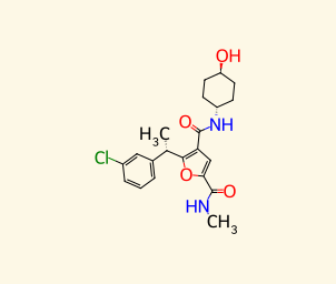 CNC(=O)c1cc(C(=O)N[C@H]2CC[C@H](O)CC2)c([C@@H](C)c2cccc(Cl)c2)o1